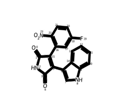 O=C1NC(=O)C(c2c[nH]c3ccccc23)=C1c1cc(F)ccc1[N+](=O)[O-]